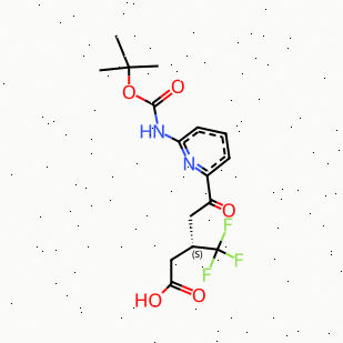 CC(C)(C)OC(=O)Nc1cccc(C(=O)C[C@@H](CC(=O)O)C(F)(F)F)n1